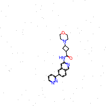 O=C(Nc1cc2cc(-c3cccnn3)ccc2cn1)C1CC(N2CCOCC2)C1